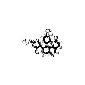 Cc1nc(N)ncc1-c1ccc2ncc3ccc(=O)n(-c4cccc(C(F)(F)F)c4)c3c2c1